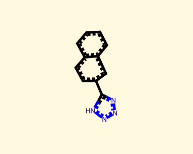 c1ccc2cc(-c3nnn[nH]3)ccc2c1